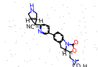 CN(C[C@@H]1OC(=O)N2c3ccc(-c4ccc([C@@]5(C#N)[C@@H]6CNC[C@@H]65)nc4)cc3C[C@@H]12)C(=O)O